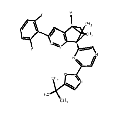 CC(C)(O)c1cnc(-c2cncc([C@@]34CC[C@@H](c5cc(-c6c(F)cccc6F)nnc53)C4(C)C)n2)o1